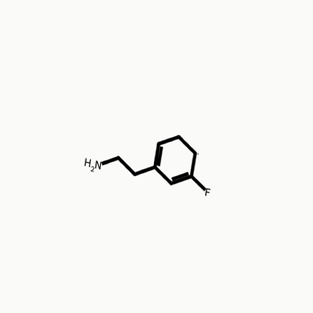 NCCC1=CC[CH]C(F)=C1